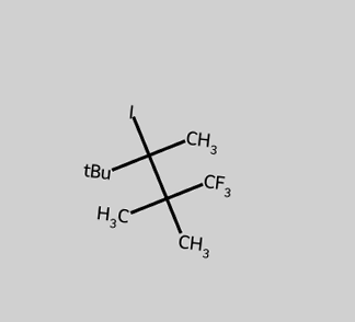 CC(C)(C)C(C)(I)C(C)(C)C(F)(F)F